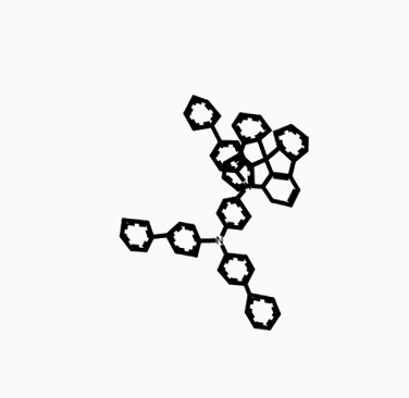 C1=CC2=C(C(N(c3ccc(-c4ccccc4)cc3)c3ccc(N(c4ccc(-c5ccccc5)cc4)c4ccc(-c5ccccc5)cc4)cc3)C1)C1(c3ccccc32)c2ccccc2-c2ccccc21